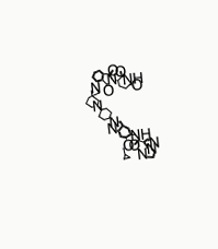 O=C1CCC(N2C(=O)c3cccc(N4CC5(CCCN(C6CCC(n7cc8cc(NC(=O)c9cnn%10cccnc9%10)c(OCC9CC9)cc8n7)CC6)C5)C4)c3C2=O)C(=O)N1